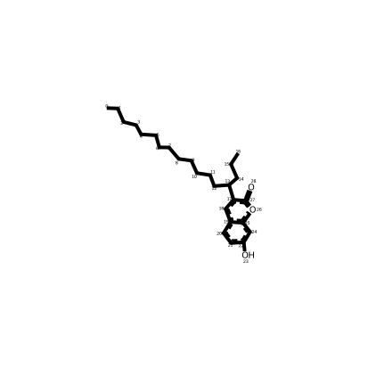 CCCCCCCCCCCCCC(CCC)c1cc2ccc(O)cc2oc1=O